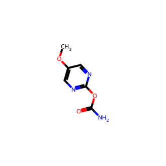 COc1cnc(OC(N)=O)nc1